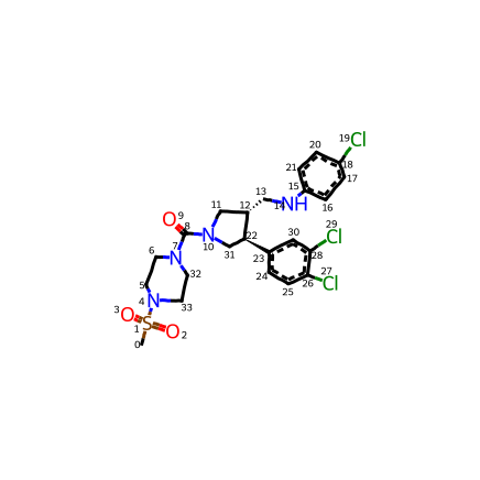 CS(=O)(=O)N1CCN(C(=O)N2C[C@H](CNc3ccc(Cl)cc3)[C@@H](c3ccc(Cl)c(Cl)c3)C2)CC1